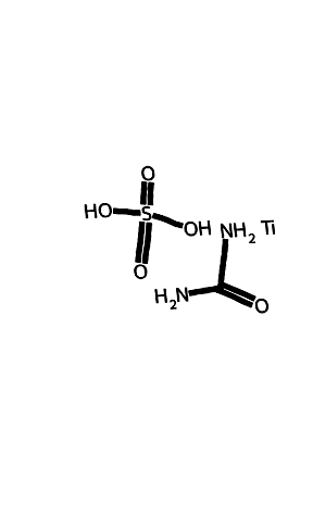 NC(N)=O.O=S(=O)(O)O.[Ti]